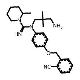 CC1CCCCN1C(=N)N(CC(C)(C)CN)c1ccc(OCc2ccccc2C#N)cc1